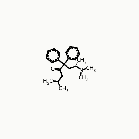 CC(C)CC(=O)C(C[C@H](C)N(C)C)(c1ccccc1)c1ccccc1